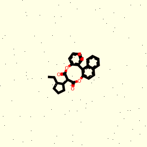 CCC1CCCC1C1C(=O)Oc2ccc3ccccc3c2-c2c(ccc3ccccc23)OC1=O